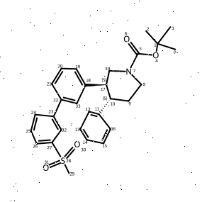 CC(C)(C)OC(=O)N1CC[C@H](c2ccccc2)[C@@H](c2cccc(-c3cccc(S(C)(=O)=O)c3)c2)C1